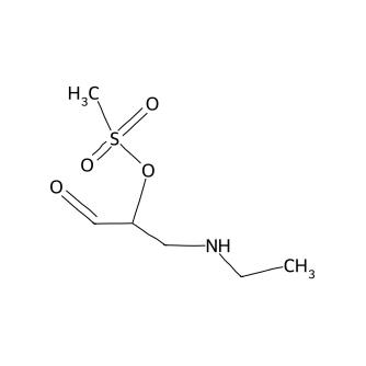 CCNCC(C=O)OS(C)(=O)=O